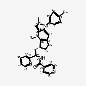 C[C@H]1C2=CNN(c3ccc(F)cc3)C2=CC2=C1[C@@H](CC(NC(=O)c1ccncc1)c1ccccn1)CC2